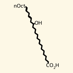 CCCCCCCCC=CCC=CCC(O)CCCCCCCCCCCCCCC(=O)O